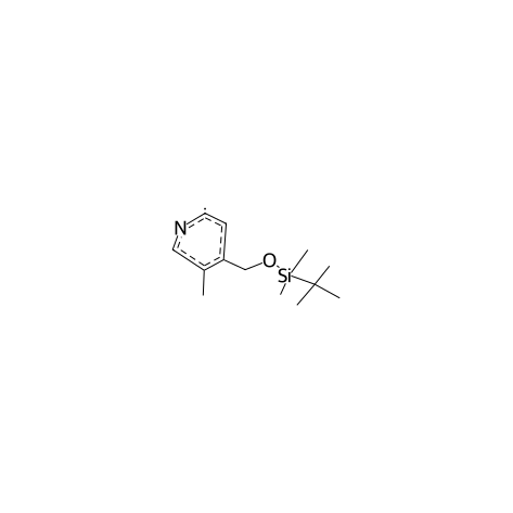 Cc1cn[c]cc1CO[Si](C)(C)C(C)(C)C